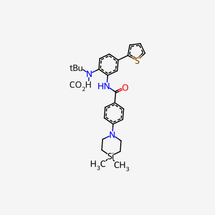 CC(C)(C)N(C(=O)O)c1ccc(-c2cccs2)cc1NC(=O)c1ccc(N2CC[Si](C)(C)CC2)cc1